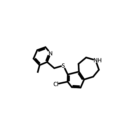 Cc1cccnc1CSc1c(Cl)ccc2c1CCNCC2